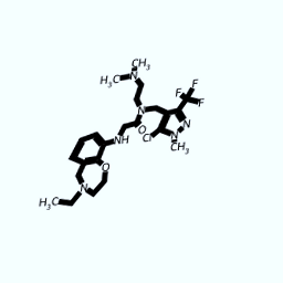 CCN1CCOc2c(cccc2NCC(=O)N(CCN(C)C)Cc2c(C(F)(F)F)nn(C)c2Cl)C1